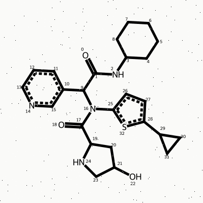 O=C(NC1CCCCC1)C(c1cccnc1)N(C(=O)C1CC(O)CN1)c1ccc(C2CC2)s1